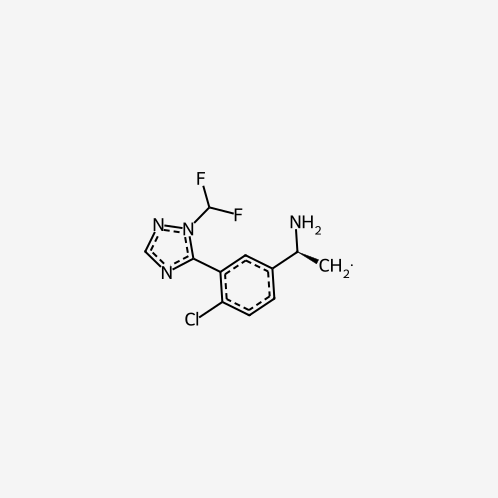 [CH2][C@H](N)c1ccc(Cl)c(-c2ncnn2C(F)F)c1